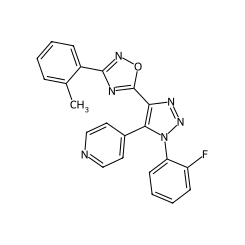 Cc1ccccc1-c1noc(-c2nnn(-c3ccccc3F)c2-c2ccncc2)n1